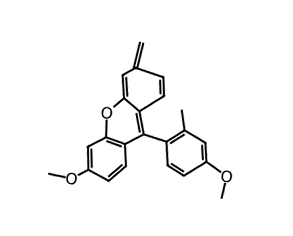 C=c1ccc2c(c1)Oc1cc(OC)ccc1C=2c1ccc(OC)cc1C